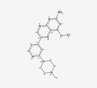 CCOc1nc(N)nc2ncc(-c3ccnc(N4CCN(C)CC4)c3)nc12